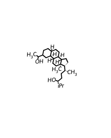 CC(O)C1CC[C@@H]2CC[C@@H]3[C@H](CC[C@]4(C)[C@@H]([C@H](C)CC[C@H](O)C(C)C)CC[C@@H]34)[C@H]2C1